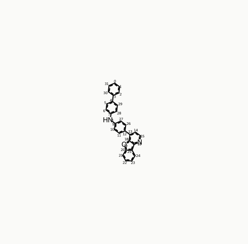 c1ccc(-c2ccc(Nc3ccc(-c4ccnc5c4oc4ccccc45)cc3)cc2)cc1